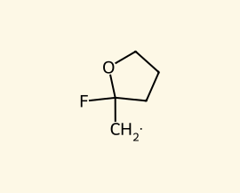 [CH2]C1(F)CCCO1